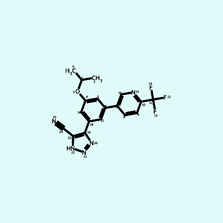 CC(C)Oc1cc(-c2ccc(C(F)(F)F)nc2)cc(-c2nn[nH]c2C#N)c1